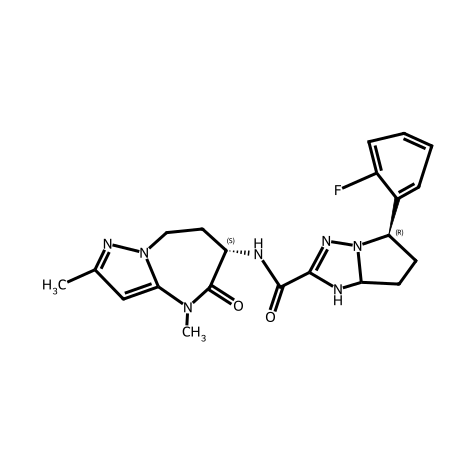 Cc1cc2n(n1)CC[C@H](NC(=O)C1=NN3C(CC[C@@H]3c3ccccc3F)N1)C(=O)N2C